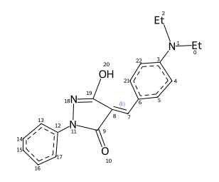 CCN(CC)c1ccc(/C=C2/C(=O)N(c3ccccc3)N=C2O)cc1